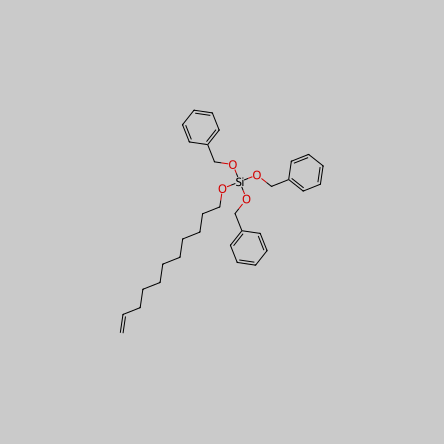 C=CCCCCCCCCCO[Si](OCc1ccccc1)(OCc1ccccc1)OCc1ccccc1